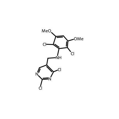 COc1cc(OC)c(Cl)c(NCc2cnc(Cl)nc2Cl)c1Cl